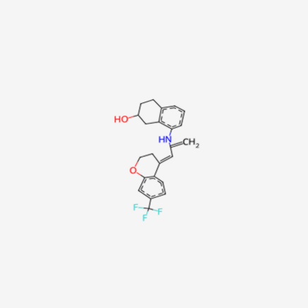 C=C(/C=C1\CCOc2cc(C(F)(F)F)ccc21)Nc1cccc2c1CC(O)CC2